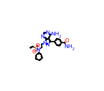 C=CS(=O)(=O)N(CCn1nc(-c2ccc(C(N)=O)cc2)c2c(N)ncnc21)c1ccccc1